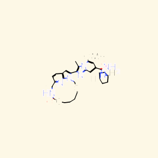 COc1cc(C(=O)N2[C@H]3CC[C@@H]2[C@H](N)C3)cc2nc(-c3cc4ccc5nc4n3CCCCCCCC(=O)N[C@@H]5C)c(C)n12